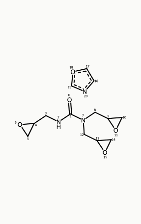 O=C(NCC1CO1)N(CC1CO1)CC1CO1.c1cocn1